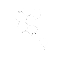 Cc1ccc2nc(N3CC[C@@H](O)C3)ccc2c1C(C(N)=O)C1CCCCC1